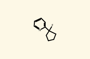 FC1(c2ccccn2)CCCC1